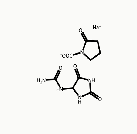 NC(=O)NC1NC(=O)NC1=O.O=C([O-])N1CCCC1=O.[Na+]